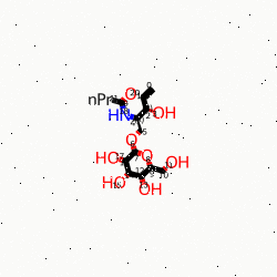 C=C[C@@H](O)[C@@H](COC1OC(CO)C(O)C(O)C1O)NC(=O)CCC